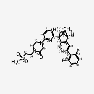 CC1(C)[C@H]2CC[C@]1(c1cccc(N3CCN(CCS(C)(=O)=O)C(=O)C3)n1)c1nnc(-c3c(F)cccc3F)cc12